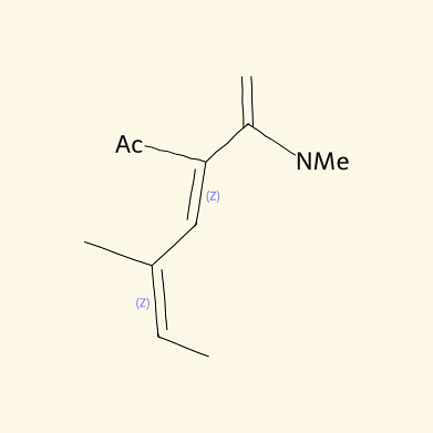 C=C(NC)/C(=C/C(C)=C\C)C(C)=O